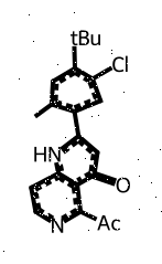 CC(=O)c1nccc2[nH]c(-c3cc(Cl)c(C(C)(C)C)cc3C)cc(=O)c12